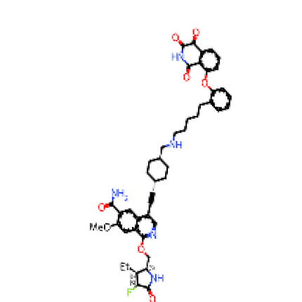 CC[C@@H]1[C@H](F)C(=O)N[C@@H]1COc1ncc(C#C[C@H]2CC[C@H](CNCCCCCc3ccccc3Oc3cccc4c3C(=O)NC(=O)C4=O)CC2)c2cc(C(N)=O)c(OC)cc12